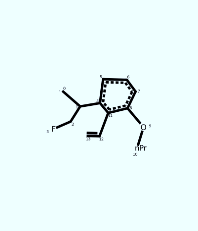 [CH2]C(CF)c1cccc(OCCC)c1C=C